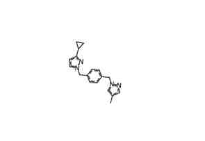 Cc1cnn(Cc2ccc(Cn3ccc(C4CC4)n3)cc2)c1